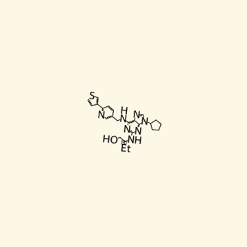 CC[C@H](CO)Nc1nc(NCc2ccc(-c3ccsc3)nc2)c2ncn(C3CCCC3)c2n1